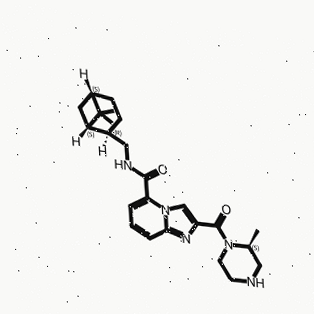 C[C@H]1CNCCN1C(=O)c1cn2c(C(=O)NC[C@@H]3CC[C@H]4C[C@@H]3C4(C)C)cccc2n1